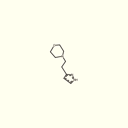 [c]1c[nH]nc1CCN1CCOCC1